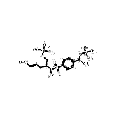 CC(C)N(C(CC=CC=O)CO[Si](C)(C)C(C)(C)C)S(=O)(=O)c1ccc([C@H](C)O[Si](C)(C)C(C)(C)C)cc1